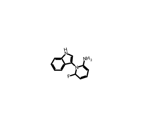 NC1=CC=CC(F)N1c1c[nH]c2ccccc12